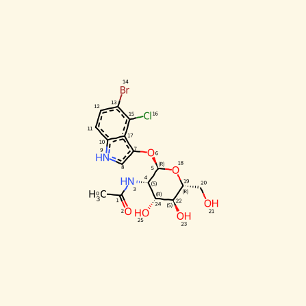 CC(=O)N[C@@H]1[C@@H](Oc2c[nH]c3ccc(Br)c(Cl)c23)O[C@H](CO)[C@@H](O)[C@@H]1O